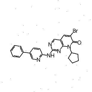 O=c1c(Br)cc2cnc(Nc3ccc(-c4ccccc4)cn3)nc2n1C1CCCC1